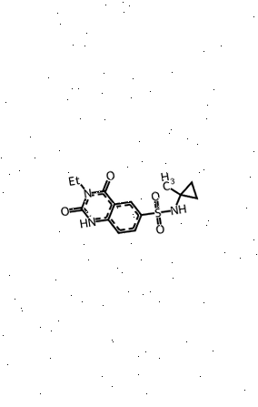 CCn1c(=O)[nH]c2ccc(S(=O)(=O)NC3(C)CC3)cc2c1=O